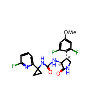 COc1cc(F)c([C@@H]2CNC(=O)[C@H]2NC(=O)NC2(c3cccc(F)n3)CC2)c(F)c1